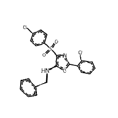 O=S(=O)(c1ccc(Cl)cc1)c1nc(-c2ccccc2Cl)oc1NCc1ccccc1